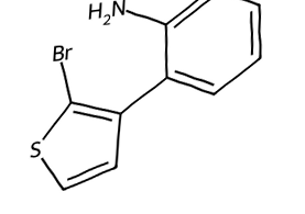 Nc1ccccc1-c1ccsc1Br